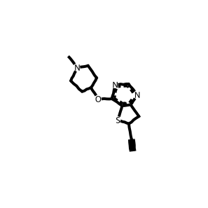 C#CC1Cc2ncnc(OC3CCN(C)CC3)c2S1